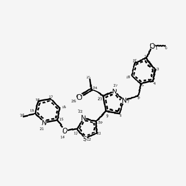 COc1ccc(Cn2cc(-c3csc(Oc4cccc(C)n4)n3)c(C(C)=O)n2)cc1